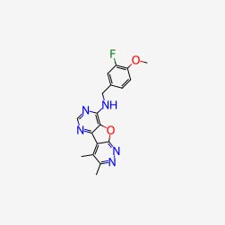 COc1ccc(CNc2ncnc3c2oc2nnc(C)c(C)c23)cc1F